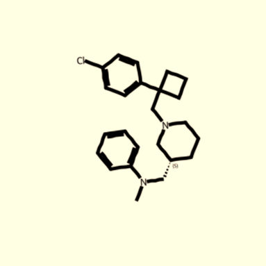 CN(C[C@H]1CCCN(CC2(c3ccc(Cl)cc3)CCC2)C1)c1ccccc1